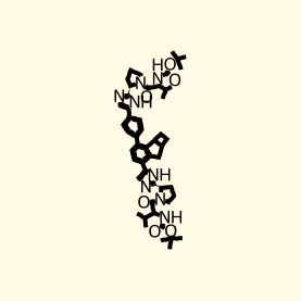 CC(C)C(NC(=O)OC(C)(C)C)C(=O)N1CCC[C@H]1c1ncc(-c2ccc(-c3ccc(-c4cnc([C@@H]5CCCN5C(=O)[C@@H](NC(=O)OC(C)(C)C)C(C)C)[nH]4)cc3)c3c2CC2CCC32)[nH]1